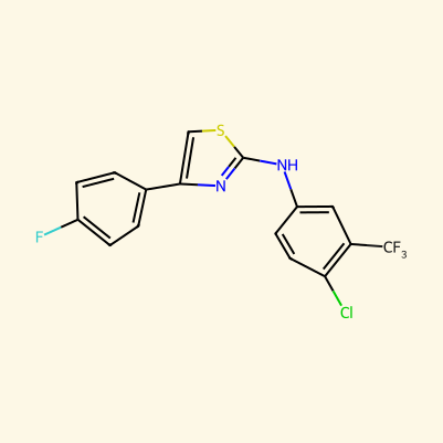 Fc1ccc(-c2csc(Nc3ccc(Cl)c(C(F)(F)F)c3)n2)cc1